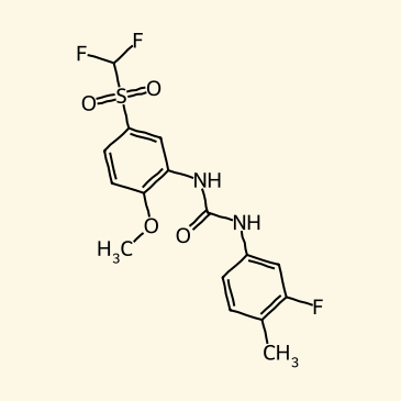 COc1ccc(S(=O)(=O)C(F)F)cc1NC(=O)Nc1ccc(C)c(F)c1